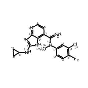 N=C(c1ccnc2nc(NC3CC3)[nH]c12)N(O)c1ccc(F)c(Cl)c1